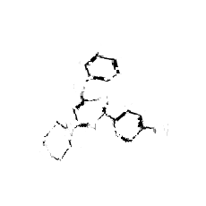 Oc1ccc(-c2nc(Oc3ccccc3)cc(N3CCOCC3)n2)cc1